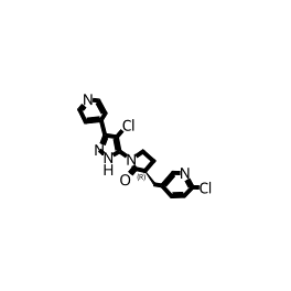 O=C1[C@H](Cc2ccc(Cl)nc2)CCN1c1[nH]nc(-c2ccncc2)c1Cl